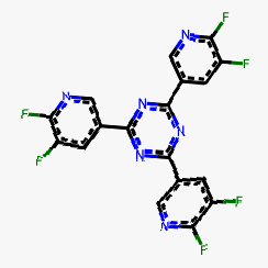 Fc1cc(-c2nc(-c3cnc(F)c(F)c3)nc(-c3cnc(F)c(F)c3)n2)cnc1F